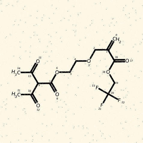 C=C(COCCOC(=O)C(C(C)=O)C(C)=O)C(=O)OCC(F)(F)F